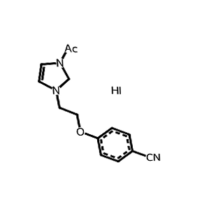 CC(=O)N1C=CN(CCOc2ccc(C#N)cc2)C1.I